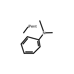 CCCC(C)C.CN(C)c1ccccc1